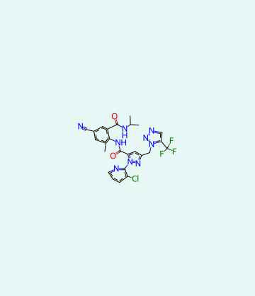 Cc1cc(C#N)cc(C(=O)NC(C)C)c1NC(=O)c1cc(Cn2nncc2C(F)(F)F)nn1-c1ncccc1Cl